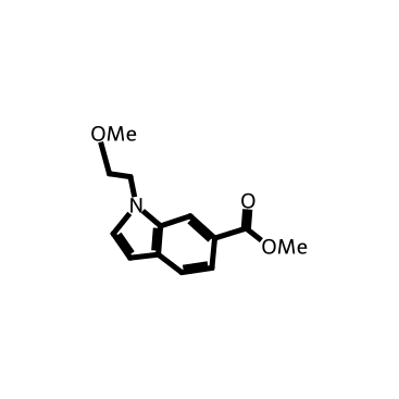 COCCn1ccc2ccc(C(=O)OC)cc21